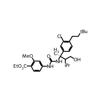 CCOC(=O)c1ccc(NC(=O)N[C@@](C)(c2ccc(CCC(C)(C)C)c(Cl)c2)C(CO)C(C)C)cc1OC